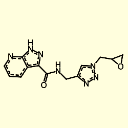 O=C(NCc1cn(CC2CO2)nn1)c1n[nH]c2ncccc12